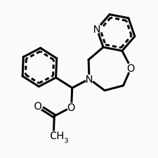 CC(=O)OC(c1ccccc1)N1CCOc2cccnc2C1